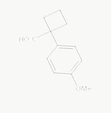 COc1ccc(C2(C(=O)O)CCC2)cc1